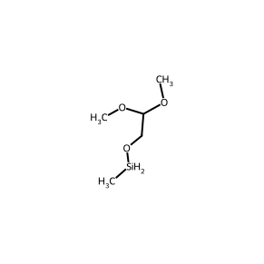 COC(CO[SiH2]C)OC